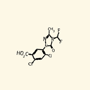 Cc1nn(-c2cc(C(=O)O)c(Cl)cc2Cl)c(=O)n1C(F)F